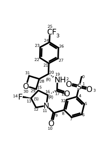 CS(=O)(=O)c1cccc(C(=O)N2C[C@@H](F)C[C@@H]2C(=O)N[C@@H](c2ccc(C(F)(F)F)cc2)C2COC2)c1